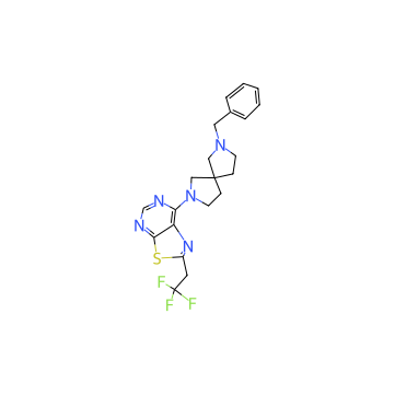 FC(F)(F)Cc1nc2c(N3CCC4(CCN(Cc5ccccc5)C4)C3)ncnc2s1